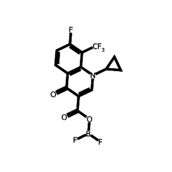 O=C(OB(F)F)c1cn(C2CC2)c2c(C(F)(F)F)c(F)ccc2c1=O